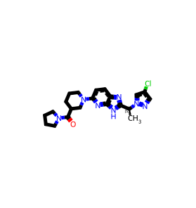 C[C@@H](c1nc2ccc(N3CCCC(C(=O)N4CCCC4)C3)nc2[nH]1)n1cc(Cl)cn1